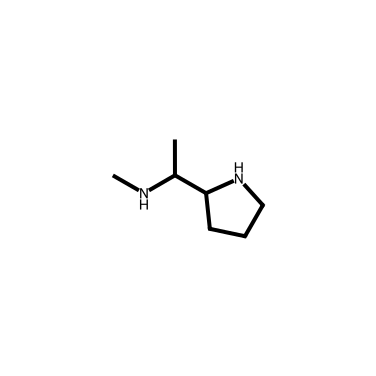 CNC(C)C1CCCN1